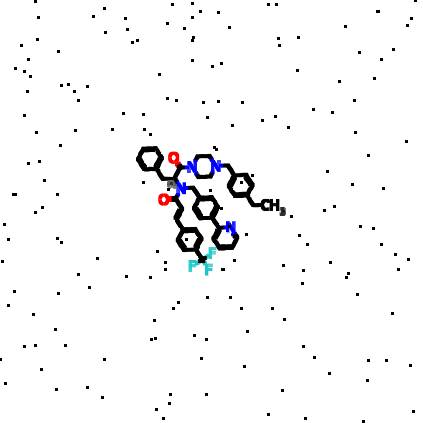 CCc1ccc(CN2CCN(C(=O)[C@H](Cc3ccccc3)N(Cc3ccc(-c4ccccn4)cc3)C(=O)C=Cc3ccc(C(F)(F)F)cc3)CC2)cc1